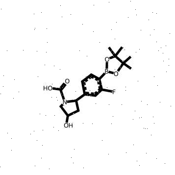 CC1(C)OB(c2ccc(C3CC(O)CN3C(=O)O)cc2F)OC1(C)C